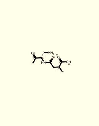 CC(=O)[C@H](CN)NC(=O)CC(C)C(=O)O